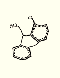 OC1c2ccccc2-c2cccc(Cl)c21